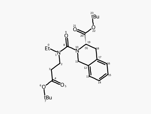 CCN(CCC(=O)OC(C)(C)C)C(=O)N1Cc2ccccc2C[C@H]1C(=O)OC(C)(C)C